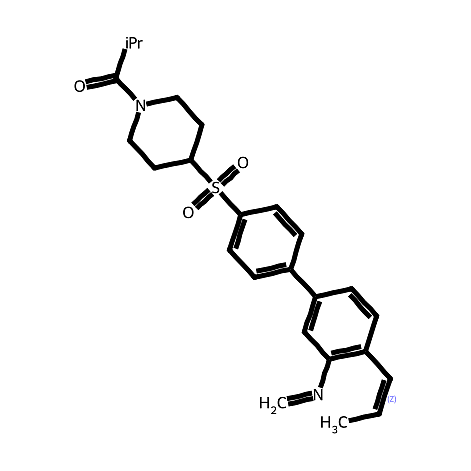 C=Nc1cc(-c2ccc(S(=O)(=O)C3CCN(C(=O)C(C)C)CC3)cc2)ccc1/C=C\C